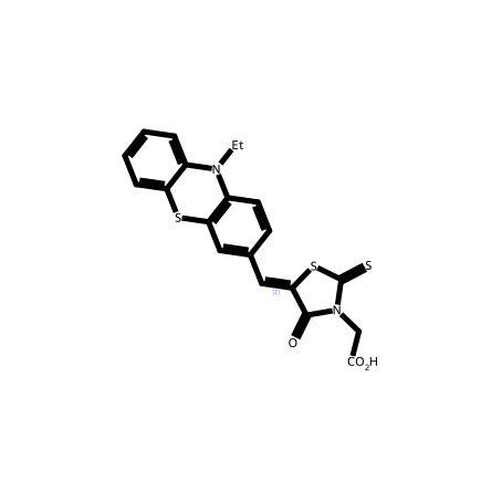 CCN1c2ccccc2Sc2cc(/C=C3\SC(=S)N(CC(=O)O)C3=O)ccc21